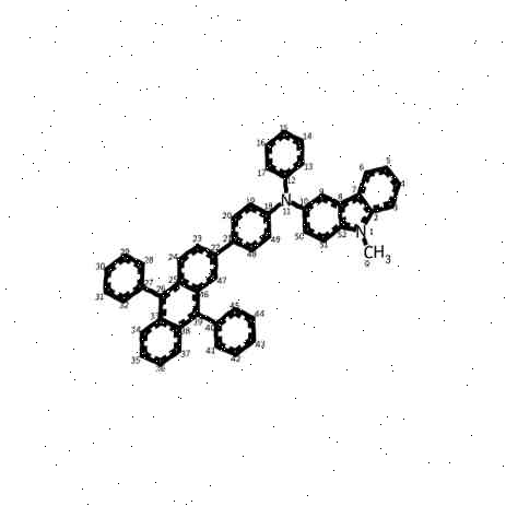 Cn1c2ccccc2c2cc(N(c3ccccc3)c3ccc(-c4ccc5c(-c6ccccc6)c6ccccc6c(-c6ccccc6)c5c4)cc3)ccc21